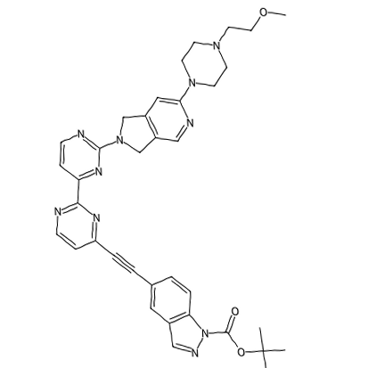 COCCN1CCN(c2cc3c(cn2)CN(c2nccc(-c4nccc(C#Cc5ccc6c(cnn6C(=O)OC(C)(C)C)c5)n4)n2)C3)CC1